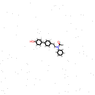 CC(=O)N(CCc1ccc(-c2ccc(O)cc2)cc1)c1ccccc1